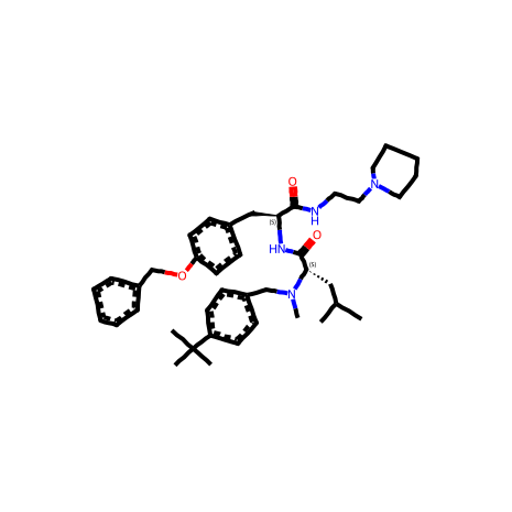 CC(C)C[C@@H](C(=O)N[C@@H](Cc1ccc(OCc2ccccc2)cc1)C(=O)NCCN1CCCCC1)N(C)Cc1ccc(C(C)(C)C)cc1